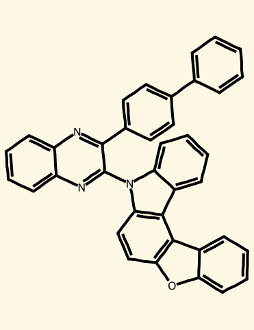 c1ccc(-c2ccc(-c3nc4ccccc4nc3-n3c4ccccc4c4c5c(ccc43)oc3ccccc35)cc2)cc1